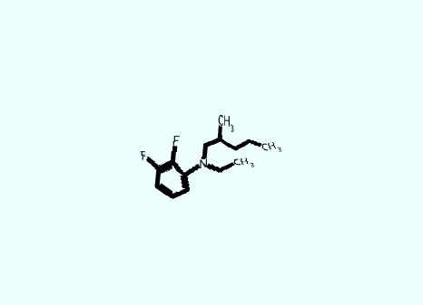 CCCC(C)CN(CC)c1cccc(F)c1F